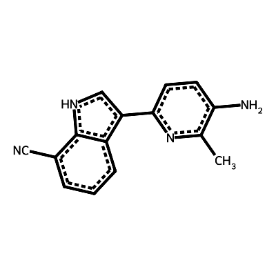 Cc1nc(-c2c[nH]c3c(C#N)cccc23)ccc1N